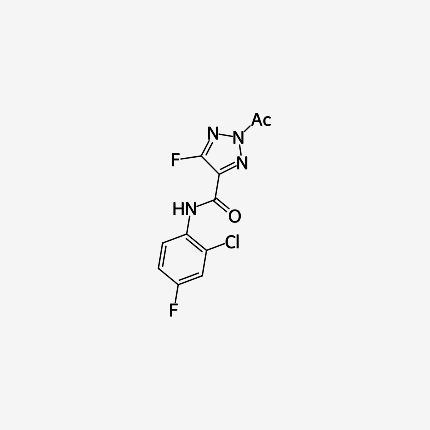 CC(=O)n1nc(F)c(C(=O)Nc2ccc(F)cc2Cl)n1